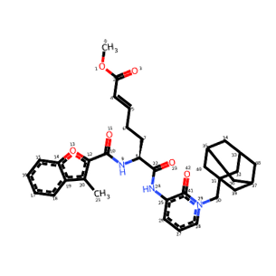 COC(=O)/C=C/CC[C@H](NC(=O)c1oc2ccccc2c1C)C(=O)Nc1cccn(CC23CC4CC(CC(C4)C2)C3)c1=O